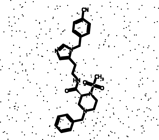 CS(=O)(=O)N1CCN(Cc2ccccc2)C[C@@H]1C(=O)NCCc1cncn1Cc1ccc(C#N)cc1